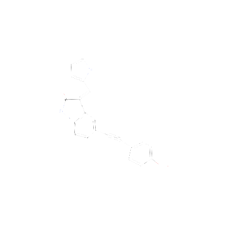 O=C1Nc2ccc(C#Cc3ccc(O)cc3)cc2/C1=C/c1ccc[nH]1